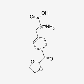 N[C@@H](Cc1ccc(C(=O)C2OCCO2)cc1)C(=O)O